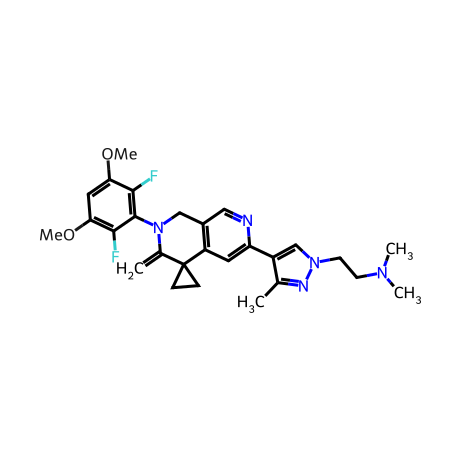 C=C1N(c2c(F)c(OC)cc(OC)c2F)Cc2cnc(-c3cn(CCN(C)C)nc3C)cc2C12CC2